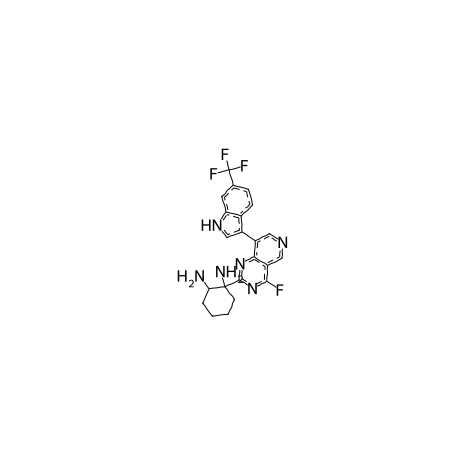 NC1CCCCC1(N)c1nc(F)c2cncc(-c3c[nH]c4cc(C(F)(F)F)ccc34)c2n1